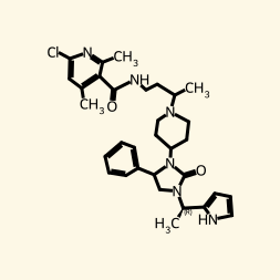 Cc1cc(Cl)nc(C)c1C(=O)NCCC(C)N1CCC(N2C(=O)N([C@H](C)c3ccc[nH]3)CC2c2ccccc2)CC1